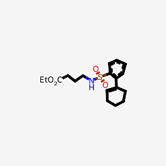 CCOC(=O)CCCNS(=O)(=O)c1ccccc1C1=CCCCC1